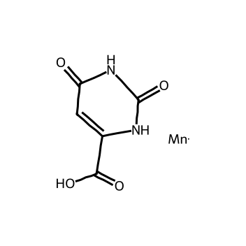 O=C(O)c1cc(=O)[nH]c(=O)[nH]1.[Mn]